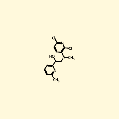 Cc1cccc(C(O)CN(C)c2ccc(Cl)nc2Cl)n1